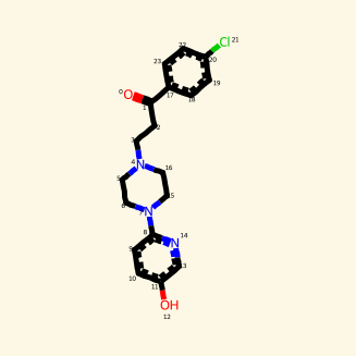 O=C(CCN1CCN(c2ccc(O)cn2)CC1)c1ccc(Cl)cc1